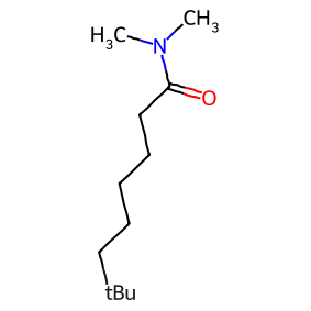 CN(C)C(=O)CCCCCC(C)(C)C